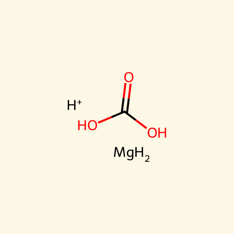 O=C(O)O.[H+].[MgH2]